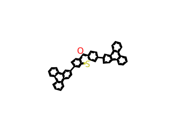 O=c1c2ccc(-c3ccc4c5ccccc5c5ccccc5c4c3)cc2sc2cc(-c3ccc4c5ccccc5c5ccccc5c4c3)ccc12